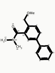 COCc1ccc(-c2ccccc2)cc1C(=O)N(C)C